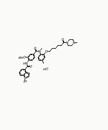 COc1cc(C(=O)N(C)c2ccc(C)cc2OCCCCCC(=O)N2CCN(C)CC2)ccc1NC(=O)c1cccc2c1ccn2C(C)C.Cl